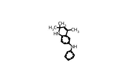 CC1=CC(C)(C)Nc2ccc(Nc3ccccc3)cc21